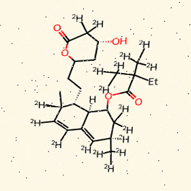 [2H]C1=C([2H])[C@]([2H])(C)[C@H](CCC2C[C@@H](O)C([2H])([2H])C(=O)O2)[C@@H]2C1=C([2H])[C@]([2H])(C([2H])([2H])[2H])C([2H])([2H])C2OC(=O)C(CC)(C([2H])([2H])[2H])C([2H])([2H])[2H]